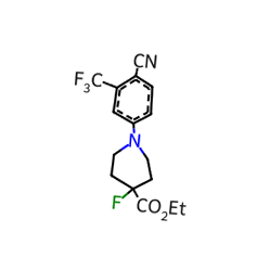 CCOC(=O)C1(F)CCN(c2ccc(C#N)c(C(F)(F)F)c2)CC1